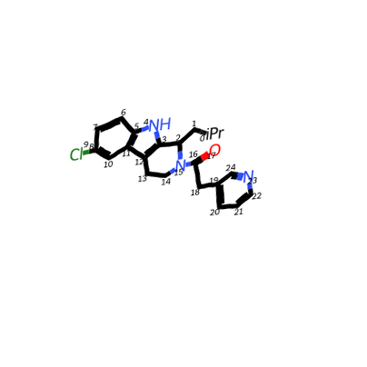 CC(C)CC1c2[nH]c3ccc(Cl)cc3c2CCN1C(=O)Cc1cccnc1